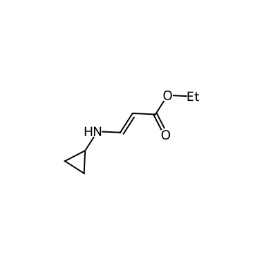 CCOC(=O)/C=C/NC1CC1